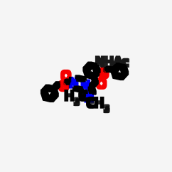 CC(=O)Nc1cccc(C(=O)C(=CN(C)C)N2CCN(C(=O)OCc3ccccc3)CC2)c1OCc1ccccc1